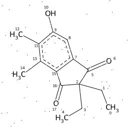 CCC1(CC)C(=O)c2cc(O)c(C)c(C)c2C1=O